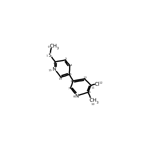 CSc1ccc(-c2cnc(C)c(Cl)c2)cn1